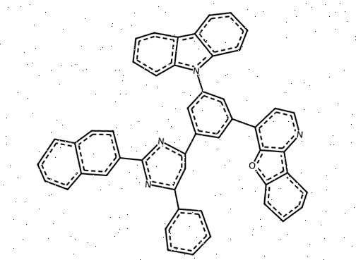 c1ccc(-c2cc(-c3cc(-c4ccnc5c4oc4ccccc45)cc(-n4c5ccccc5c5ccccc54)c3)nc(-c3ccc4ccccc4c3)n2)cc1